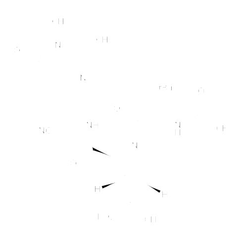 Cc1nc(C(C#N)NC(=O)[C@@H]2[C@@H]3[C@H](CN2C(=O)[C@@H](NC(=O)C(F)(F)F)C(C)(C)C)C3(C)C)cc(=O)n1C